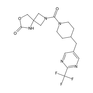 O=C1NC2(CO1)CN(C(=O)N1CCC(Cc3cnc(C(F)(F)F)nc3)CC1)C2